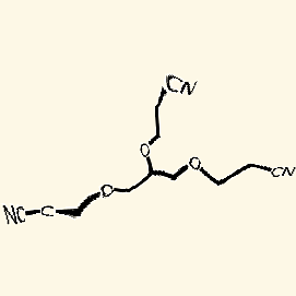 N#CCCOCC(COCCC#N)OCCC#N